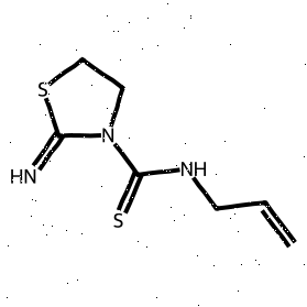 C=CCNC(=S)N1CCSC1=N